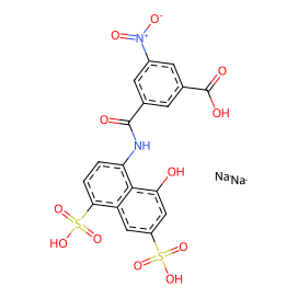 O=C(O)c1cc(C(=O)Nc2ccc(S(=O)(=O)O)c3cc(S(=O)(=O)O)cc(O)c23)cc([N+](=O)[O-])c1.[Na].[Na]